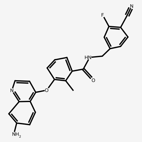 Cc1c(Oc2ccnc3cc(N)ccc23)cccc1C(=O)NCc1ccc(C#N)c(F)c1